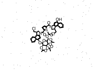 CC(=O)OCC1OC(Oc2cc3c(c4ccccc24)C(CCl)CN3C(=O)c2ccc(C(=O)N3CC(CCl)c4c3cc(O)c3ccccc43)s2)C(OC(C)=O)C(OC(C)=O)C1OC(C)=O